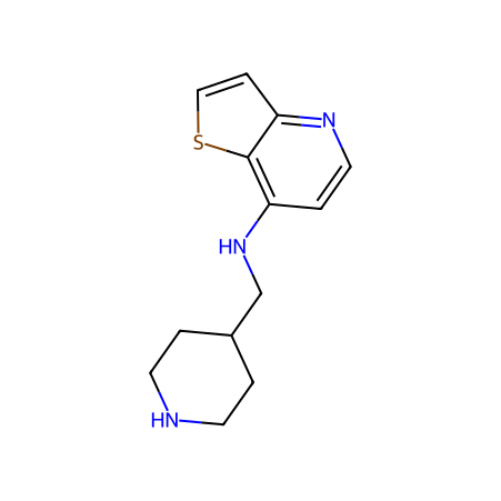 c1cc(NCC2CCNCC2)c2sccc2n1